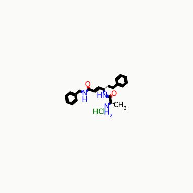 C[C@H](N)C(=O)N[C@H](C=CC(=O)NCc1ccccc1)CCc1ccccc1.Cl